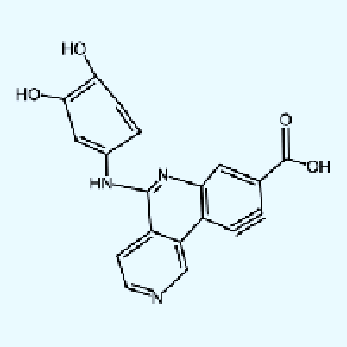 O=C(O)c1c#cc2c(c1)nc(Nc1ccc(O)c(O)c1)c1ccncc12